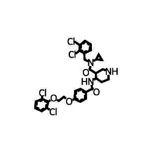 O=C(NC1CCNCC1C(=O)N(Cc1cccc(Cl)c1Cl)C1CC1)c1ccc(OCCOc2c(Cl)cccc2Cl)cc1